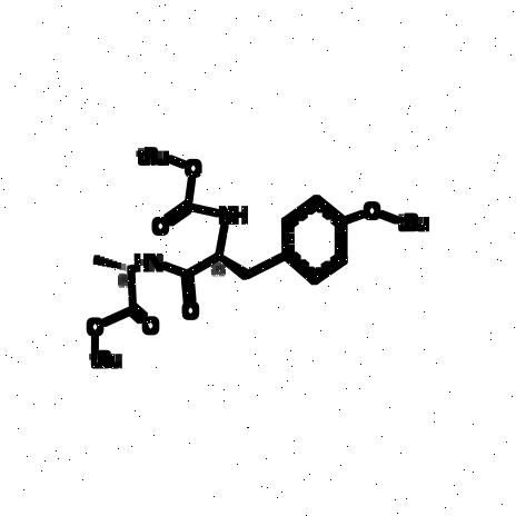 C[C@H](NC(=O)[C@H](Cc1ccc(OC(C)(C)C)cc1)NC(=O)OC(C)(C)C)C(=O)OC(C)(C)C